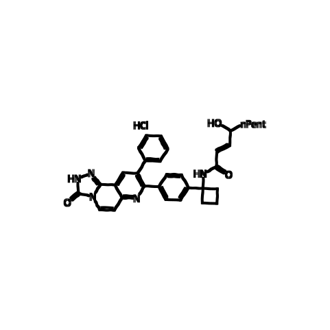 CCCCCC(O)C=CC(=O)NC1(c2ccc(-c3nc4ccn5c(=O)[nH]nc5c4cc3-c3ccccc3)cc2)CCC1.Cl